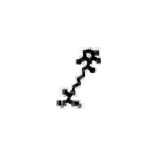 C=C(C)C(=O)OCCCCCC(=O)n1c(=O)cc[nH]c1=S